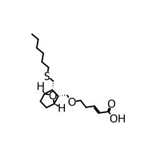 CCCCCCSC[C@@H]1[C@H](COCC/C=C/C(=O)O)[C@@H]2CC[C@H]1O2